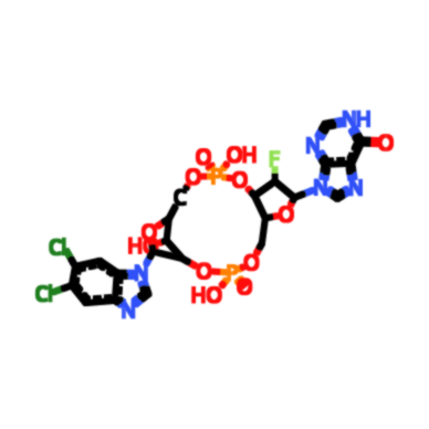 O=c1[nH]cnc2c1ncn2C1OC2COP(=O)(O)OC3C(O)C(COP(=O)(O)OC2C1F)OC3n1cnc2cc(Cl)c(Cl)cc21